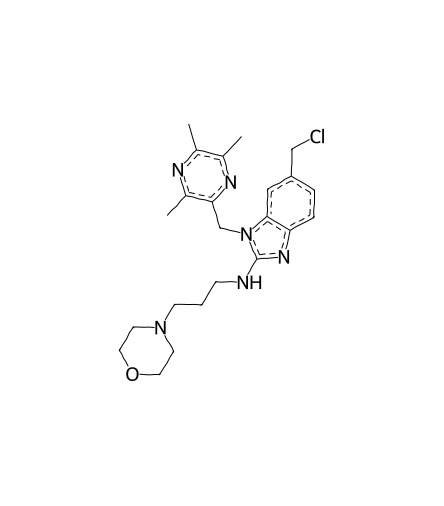 Cc1nc(C)c(Cn2c(NCCCN3CCOCC3)nc3ccc(CCl)cc32)nc1C